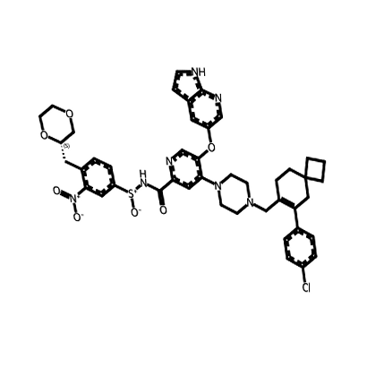 O=C(N[S+]([O-])c1ccc(C[C@H]2COCCO2)c([N+](=O)[O-])c1)c1cc(N2CCN(CC3=C(c4ccc(Cl)cc4)CC4(CCC4)CC3)CC2)c(Oc2cnc3[nH]ccc3c2)cn1